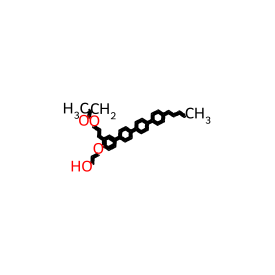 C=C(C)C(=O)OCCCc1cc(C2CCC(C3CCC(C4CCC(CCCCC)CC4)CC3)CC2)ccc1OCCCO